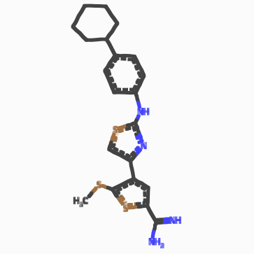 CSc1sc(C(=N)N)cc1-c1csc(Nc2ccc(C3CCCCC3)cc2)n1